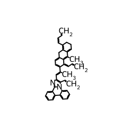 C=C/C=C\C1=C2Cc3ccc(/C(C)=C/c4nc5c6ccccc6c6ccccc6n5c4C=C)/c(=C/C=C)c3=C(C)C2=CCC1